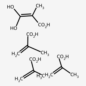 C=C(C)C(=O)O.C=C(C)C(=O)O.C=C(C)C(=O)O.CC(C(=O)O)=C(O)O